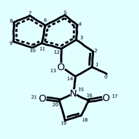 CC1=Cc2ccc3ccccc3c2OC1N1C(=O)C=CC1=O